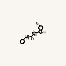 O=C(NN=Cc1ccccc1)c1csc(-c2c[nH]c3ccc(Br)cc23)n1